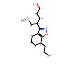 CC(C)CCC1CCCc2c(C(CCCO)CC(=O)O)noc21